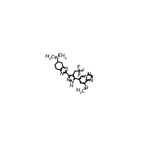 COc1cc(-c2[nH]nc(-c3nc4c(s3)CC(N(C)C)CC4)c2CC(F)(F)F)cn2ncnc12